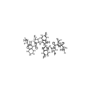 CNC(C)C(=O)NC(C(=O)N1CC(F)CC1Cc1c(-c2nc3cc(F)ccc3n2CC2CC(F)CN2C(=O)C(NC(=O)C(C)NC)C2CC2)[nH]c2cc(F)ccc12)C1CCCCC1